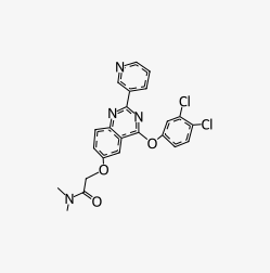 CN(C)C(=O)COc1ccc2nc(-c3cccnc3)nc(Oc3ccc(Cl)c(Cl)c3)c2c1